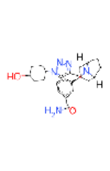 NC(=O)c1cccc([C@H]2C[C@H]3CC[C@@H](C2)N3Cc2cn(C3CCC(O)CC3)nn2)c1